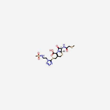 CSCC(=O)N[C@@H]1C(=O)N2C(C(=O)O)=C(CSc3nnnn3CCNS(C)(=O)=O)CS[C@H]12